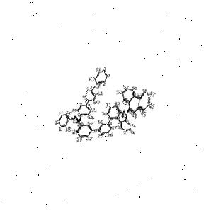 c1ccc(-c2ccc(-c3ccc(N(c4ccccc4)c4cccc(-c5cccc(-c6cccc7c6c6ccccc6n7-c6cc7ccccc7c7ccccc67)c5)c4)cc3)cc2)cc1